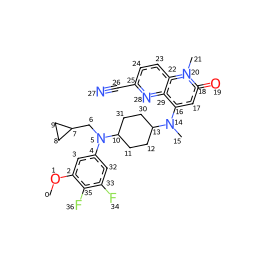 COc1cc(N(CC2CC2)C2CCC(N(C)c3cc(=O)n(C)c4ccc(C#N)nc34)CC2)cc(F)c1F